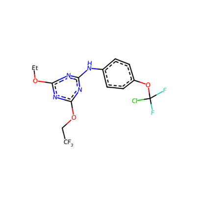 CCOc1nc(Nc2ccc(OC(F)(F)Cl)cc2)nc(OCC(F)(F)F)n1